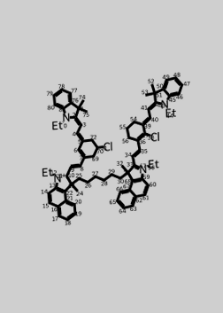 CCN1C(=CC=C2C=C(C=CC3=[N+](CC)c4ccc5ccccc5c4C3(C)CCCCCCC3(C)C(C=CC4=C(Cl)C(=CC=C5N(CC)c6ccccc6C5(C)C)CCC4)=[N+](CC)c4ccc5ccccc5c43)CC(Cl)C2)C(C)(C)c2ccccc21